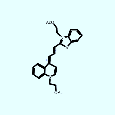 CC(=O)OCCN1C=C/C(=C\C=C\c2sc3ccccc3[n+]2CCOC(C)=O)c2ccccc21